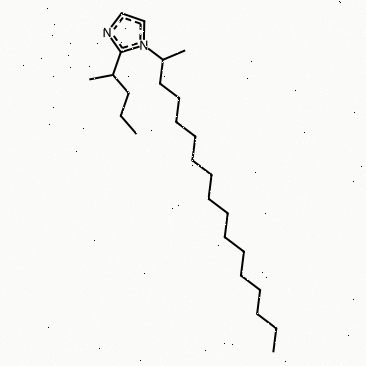 CCCCCCCCCCCCCCCC(C)n1ccnc1C(C)CCC